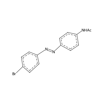 CC(=O)Nc1ccc(N=Nc2ccc(Br)cc2)cc1